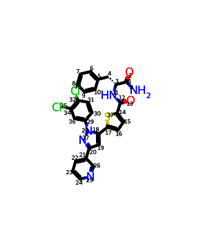 NC(=O)[C@@H](Cc1ccccc1)NC(=O)c1ccc(-c2cc(-c3cccnc3)nn2-c2ccc(Cl)c(Cl)c2)s1